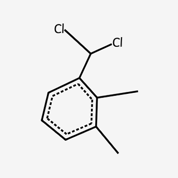 Cc1cccc(C(Cl)Cl)c1C